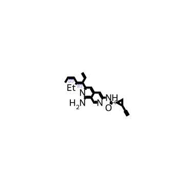 C#CC1C[C@H]1C(=O)Nc1cc2cc(/C(C=C)=C(/C=C\C)CC)nc(N)c2cn1